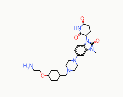 Cn1c(=O)n(C2CCC(=O)NC2=O)c2ccc(N3CCN(CC4CCC(OCCN)CC4)CC3)cc21